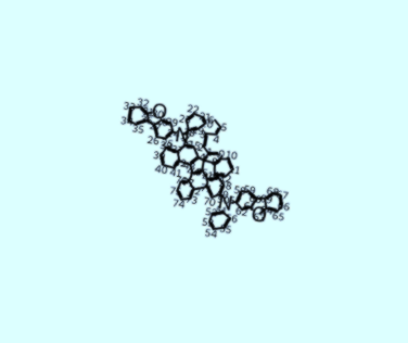 C=C(/C=C\C=C/C)C1(c2ccccc2)c2cc(N(c3ccccc3)c3ccc4c(c3)oc3ccccc34)c3ccccc3c2-c2c1c1ccc(N(c3ccccc3)c3ccc4c(c3)oc3ccccc34)cc1c1ccccc21